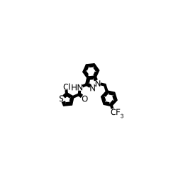 O=C(Nc1nn(Cc2ccc(C(F)(F)F)cc2)c2ccccc12)c1ccsc1Cl